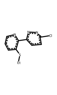 CCSc1cccnc1-c1ccc(Cl)nn1